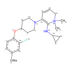 COc1ccc(OC2CCN(C3=C(NC4CC4)[N+](C)(C)CC=C3)CC2)c(F)c1